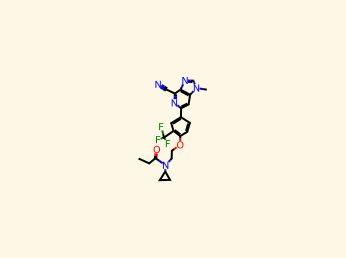 CCC(=O)N(CCOc1ccc(-c2cc3c(ncn3C)c(C#N)n2)cc1C(F)(F)F)C1CC1